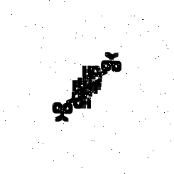 C=C(C)C(=O)OCC(O)CC(F)(F)C(F)(F)C(F)(F)C(F)(F)CC(O)COC(=O)C(=C)C